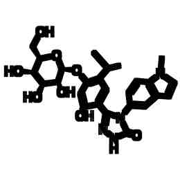 CC(C)c1cc(-c2n[nH]c(=O)n2-c2ccc3c(ccn3C)c2)c(O)cc1O[C@@H]1O[C@H](CO)[C@H](O)[C@H](O)[C@H]1O